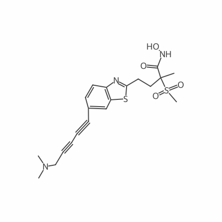 CN(C)CC#CC#Cc1ccc2nc(CCC(C)(C(=O)NO)S(C)(=O)=O)sc2c1